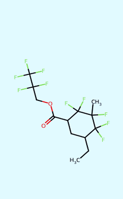 CCC1CC(C(=O)OCC(F)(F)C(F)(F)F)C(F)(F)C(C)(F)C1(F)F